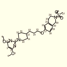 COc1cc(OC)nc(N2CCC(CCCOc3ccc4c(c3)CCN(S(C)(=O)=O)C4)CC2)n1